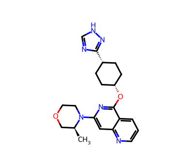 C[C@H]1COCCN1c1cc2ncccc2c(O[C@H]2CC[C@@H](c3nc[nH]n3)CC2)n1